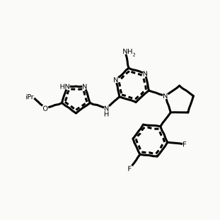 CC(C)Oc1cc(Nc2cc(N3CCCC3c3ccc(F)cc3F)nc(N)n2)n[nH]1